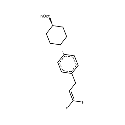 CCCCCCCC[C@H]1CC[C@H](c2ccc(CC=C(F)F)cc2)CC1